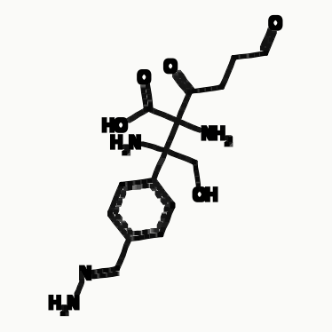 NN=Cc1ccc(C(N)(CO)C(N)(C(=O)O)C(=O)CCC=O)cc1